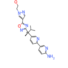 COCCn1cc(-c2nc([C@@](C)(c3ccc(-c4ccc(N)nc4)nc3)C(C)C)no2)cn1